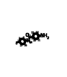 Cc1ccc(N(C)C(=O)c2ccc(N)cc2)cc1